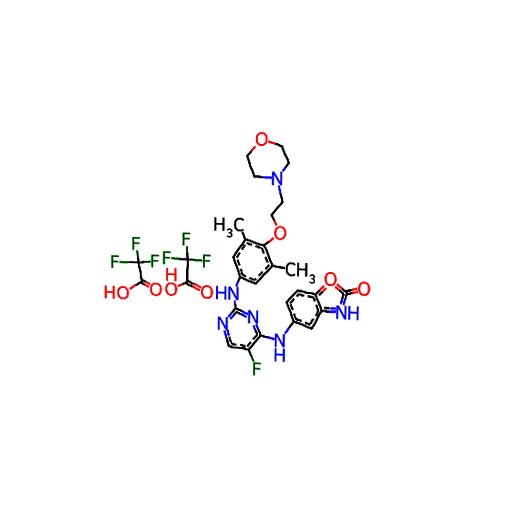 Cc1cc(Nc2ncc(F)c(Nc3ccc4oc(=O)[nH]c4c3)n2)cc(C)c1OCCN1CCOCC1.O=C(O)C(F)(F)F.O=C(O)C(F)(F)F